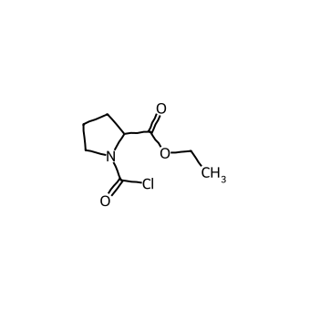 CCOC(=O)C1CCCN1C(=O)Cl